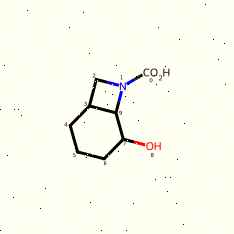 O=C(O)N1CC2CCCC(O)C21